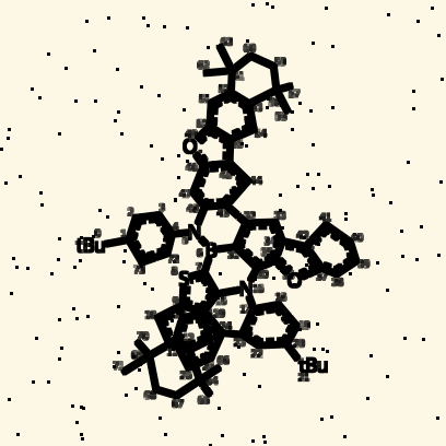 CC(C)(C)c1ccc(N2B3c4sc5cc6c(cc5c4N(c4ccc(C(C)(C)C)cc4-c4ccccc4)c4c3c(cc3c4oc4ccccc43)-c3cc4c(cc32)oc2cc3c(cc24)C(C)(C)CCC3(C)C)C(C)(C)CCC6(C)C)cc1